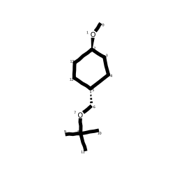 CO[C@H]1CC[C@H](COC(C)(C)C)CC1